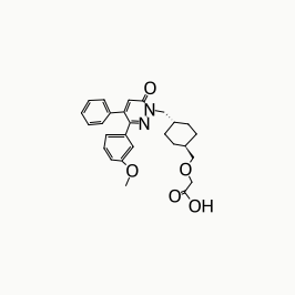 COc1cccc(-c2nn(C[C@H]3CC[C@H](COCC(=O)O)CC3)c(=O)cc2-c2ccccc2)c1